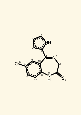 S=C1CN=C(c2ccc[nH]2)c2cc(Cl)ccc2N1